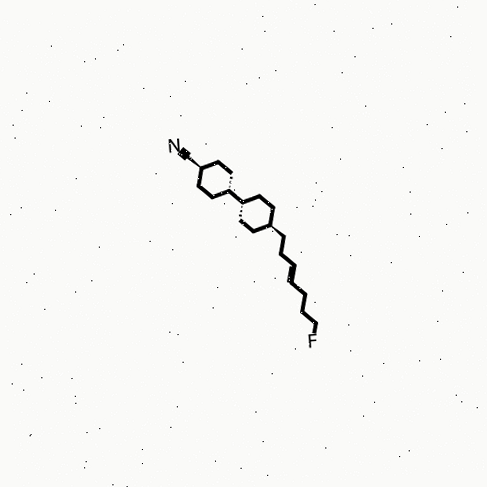 N#C[C@H]1CC[C@H]([C@H]2CC[C@H](CCC=CCCCF)CC2)CC1